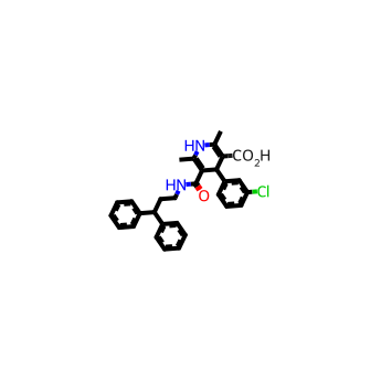 CC1=C(C(=O)O)C(c2cccc(Cl)c2)C(C(=O)NCCC(c2ccccc2)c2ccccc2)=C(C)N1